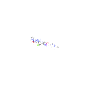 CC(=O)[C@@H](C)CN1CCC(COc2ccc(-c3ccc(CC(N)C(=O)N4CCCC4)c(F)c3)cn2)CC1